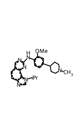 COc1cc(C2CCN(C)CC2)ccc1Nc1ncc2ccc3ncn(C(C)C)c3c2n1